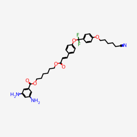 N#CCCCCCOc1ccc(C(F)(F)Oc2ccc(C=CC(=O)OCCCCCCOC(=O)c3cc(N)cc(N)c3)cc2)cc1